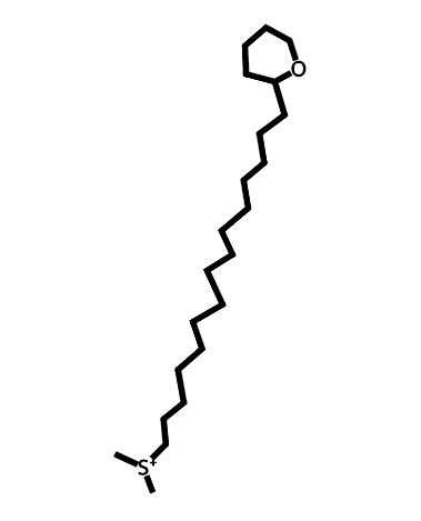 C[S+](C)CCCCCCCCCCCCCCCC1CCCCO1